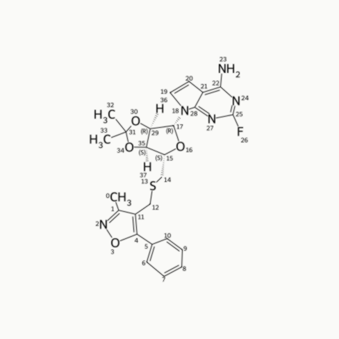 Cc1noc(-c2ccccc2)c1CSC[C@H]1O[C@@H](n2ccc3c(N)nc(F)nc32)[C@@H]2OC(C)(C)O[C@@H]21